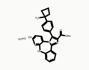 COC(=O)c1nc2n(c1-c1ccc(C3(N)CCC3)cc1)-c1cccnc1Nc1ccccc1-2.Cl.Cl.Cl